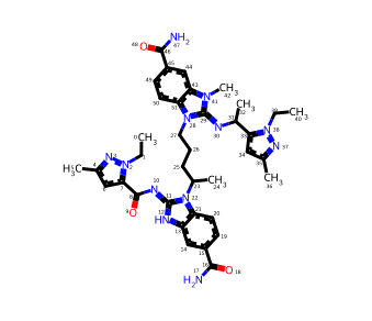 CCn1nc(C)cc1C(=O)/N=c1\[nH]c2cc(C(N)=O)ccc2n1C(C)CCCn1/c(=N/C(C)c2cc(C)nn2CC)n(C)c2cc(C(N)=O)ccc21